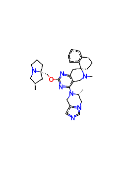 C[C@H]1CN2CCC[C@@]2(COc2nc3c(c(N4Cc5cncn5C[C@H]4C)n2)CN(C)[C@@]2(CCCc4ccccc42)C3)C1